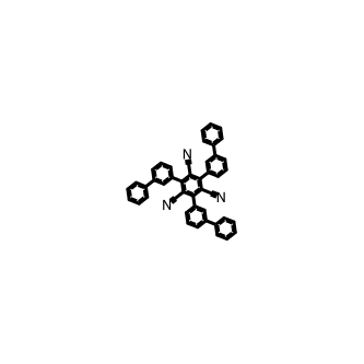 N#Cc1c(-c2cccc(-c3ccccc3)c2)c(C#N)c(-c2cccc(-c3ccccc3)c2)c(C#N)c1-c1cccc(-c2ccccc2)c1